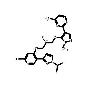 Cn1ncc(-c2nccc(N)n2)c1OC[C@@H](F)CNc1cc(Cl)ncc1-c1ccn(C(F)F)n1